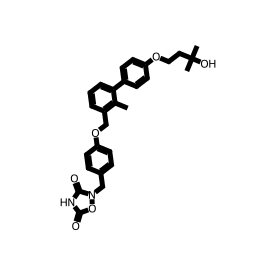 Cc1c(COc2ccc(Cn3oc(=O)[nH]c3=O)cc2)cccc1-c1ccc(OCCC(C)(C)O)cc1